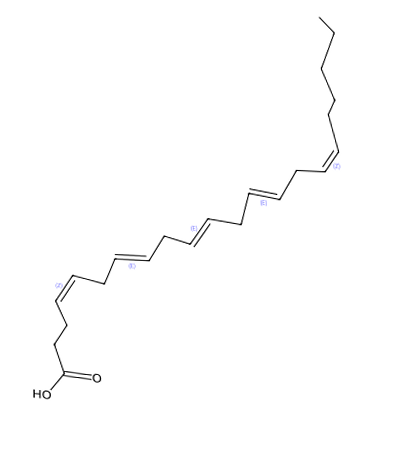 CCCCC/C=C\C/C=C/C/C=C/C/C=C/C/C=C\CCC(=O)O